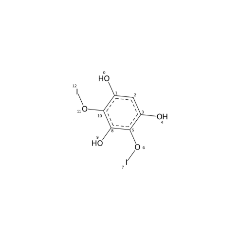 Oc1cc(O)c(OI)c(O)c1OI